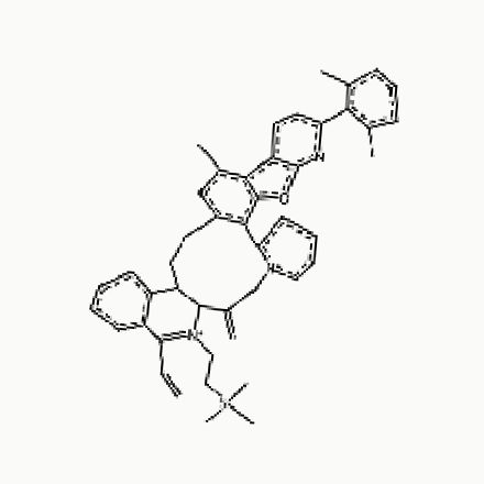 C=CC1=[N+](CC[Si](C)(C)C)C2C(=C)C[n+]3ccccc3-c3c(cc(C)c4c3oc3nc(-c5c(C)cccc5C)ccc34)CCC2c2ccccc21